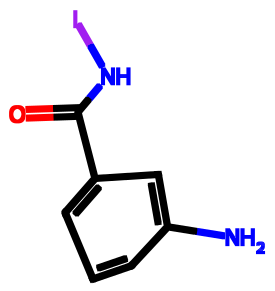 Nc1cccc(C(=O)NI)c1